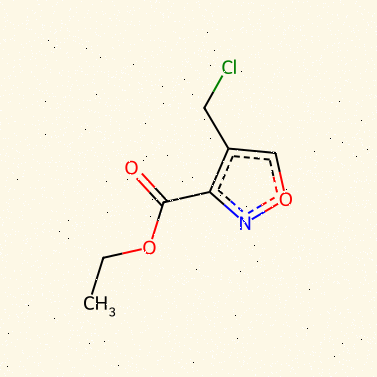 CCOC(=O)c1nocc1CCl